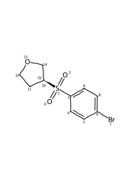 O=S(=O)(c1ccc(Br)cc1)[C@H]1CCOC1